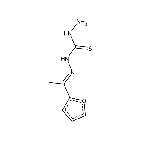 C/C(=N\NC(=S)NN)c1ccco1